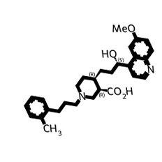 COc1ccc2nccc([C@@H](O)CC[C@@H]3CCN(CCCc4ccccc4C)C[C@@H]3C(=O)O)c2c1